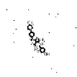 CC1CCN(c2ccc(Nc3n[nH]c(NCc4ccc(O)cc4)c3C(N)=O)cc2)CC1